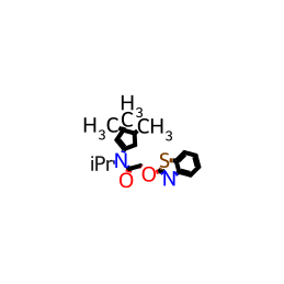 CC(C)N(C(=O)COc1nc2ccccc2s1)C1=CC(C)(C)C(C)C1